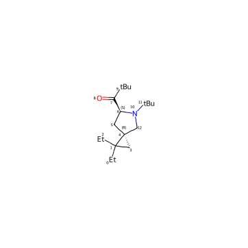 CCC1(CC)C[C@@]12C[C@@H](C(=O)C(C)(C)C)N(C(C)(C)C)C2